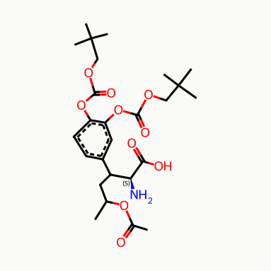 CC(=O)OC(C)CC(c1ccc(OC(=O)OCC(C)(C)C)c(OC(=O)OCC(C)(C)C)c1)[C@H](N)C(=O)O